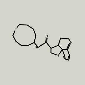 O=C(NC1CCCCCCCCC1)C1CSC23C=CC=CC2=NCCC13